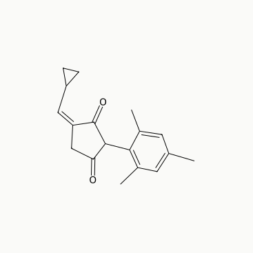 Cc1cc(C)c(C2C(=O)C/C(=C/C3CC3)C2=O)c(C)c1